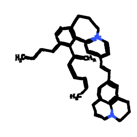 C=C(/C=C\C=C/C)c1c(CCCC)ccc2c1-c1cc(/C=C/c3cc4c5c(c3)CCCN5CCC4)cc[n+]1CCC2